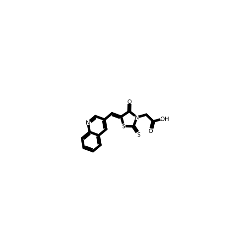 O=C(O)CN1C(=O)C(=Cc2cnc3ccccc3c2)SC1=S